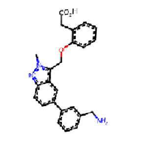 Cn1nc2ccc(-c3cccc(CN)c3)cc2c1COc1ccccc1CC(=O)O